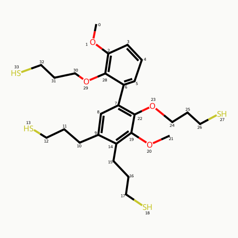 COc1cccc(-c2cc(CCCS)c(CCCS)c(OC)c2OCCCS)c1OCCCS